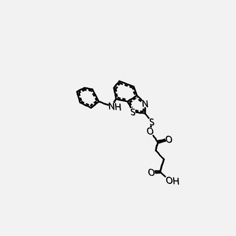 O=C(O)CCC(=O)OSc1nc2cccc(Nc3ccccc3)c2s1